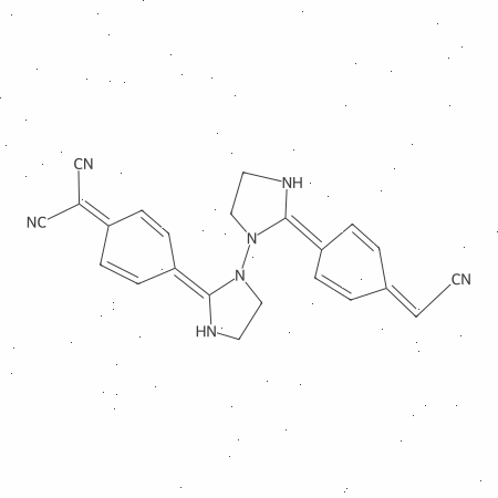 N#CC=c1ccc(=C2NCCN2N2CCNC2=c2ccc(=C(C#N)C#N)cc2)cc1